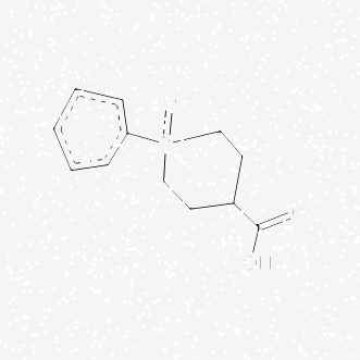 O=C(O)C1CCP(=O)(c2ccccc2)CC1